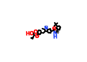 Cc1c(Cc2cccc(OC(C(=O)O)C3CC3)c2)c2ccc(C(=O)N[C@@H](C)c3cccc(C(C)(C)C)c3)cc2n1C